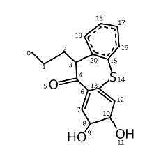 CCCC1C(=O)C2=CC(O)C(O)C=C2Sc2ccccc21